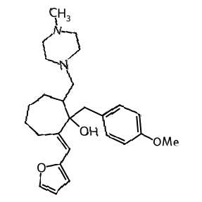 COc1ccc(CC2(O)C(=Cc3ccco3)CCCCC2CN2CCN(C)CC2)cc1